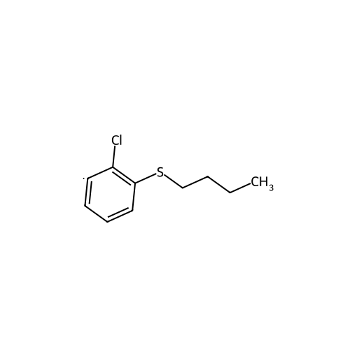 CCCCSc1ccc[c]c1Cl